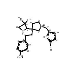 N#Cc1ccc(CC[C@@]2([C@H]3OCC3(F)F)CCN(Cc3ncc(F)s3)C2)cc1